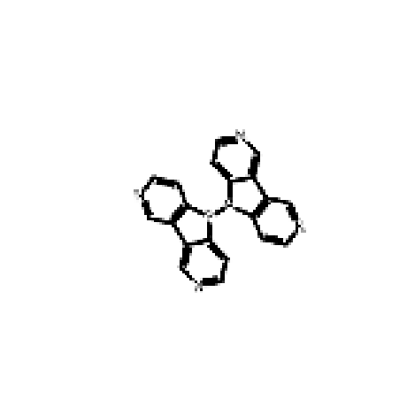 c1cc2c(cn1)c1cnccc1p2-p1c2ccncc2c2cnccc21